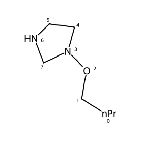 CCCCON1CCNC1